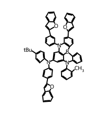 Cc1ccccc1N1c2ccccc2B2c3ccc(-c4cc5ccccc5o4)cc3N(c3cccc(-c4cc5ccccc5o4)c3)c3cc(N(c4ccc(-c5cc6ccccc6o5)cc4)c4ccc(C(C)(C)C)cc4)cc1c32